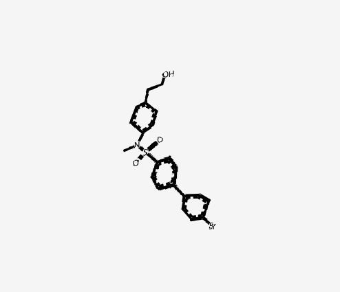 CN(c1ccc(CCO)cc1)S(=O)(=O)c1ccc(-c2ccc(Br)cc2)cc1